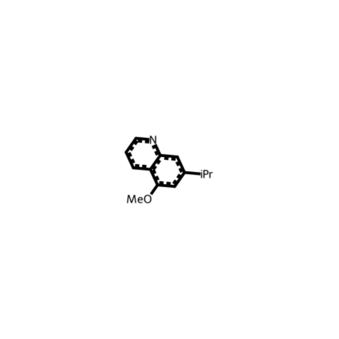 COc1cc(C(C)C)cc2ncccc12